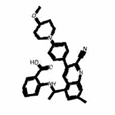 COC1CCN(c2ccc(-c3cc4c(C(C)Nc5ccccc5C(=O)O)cc(C)cc4nc3C#N)cc2)CC1